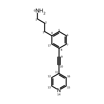 NCCCc1cccc(C#Cc2ccncc2)c1